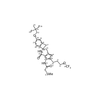 CSCC(=O)Nc1c2c(nn1CCCOC(F)(F)F)CC1(Cc3cc(OCC(C)(F)F)ccc31)NC2=O